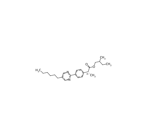 CCCCCCc1cnc(-c2ccc([C@@H](C)C(=O)OCC(C)CC)cc2)nc1